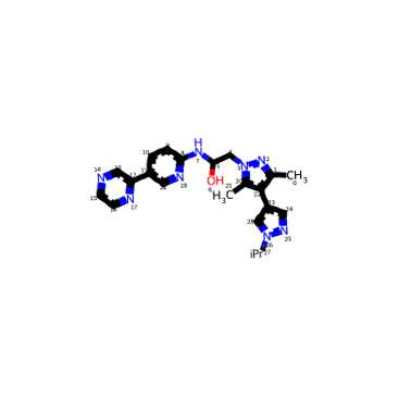 Cc1nn(CC(O)Nc2ccc(-c3cnccn3)cn2)c(C)c1-c1cnn(C(C)C)c1